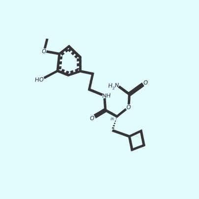 COc1ccc(CCNC(=O)[C@@H](CC2CCC2)OC(N)=O)cc1O